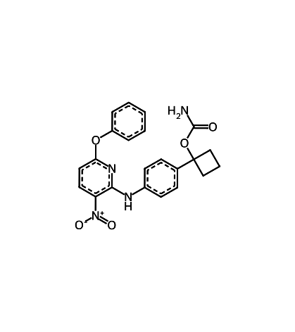 NC(=O)OC1(c2ccc(Nc3nc(Oc4ccccc4)ccc3[N+](=O)[O-])cc2)CCC1